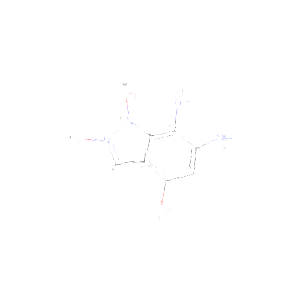 Nc1cc(O)c2c[n+]([O-])n(O)c2c1N